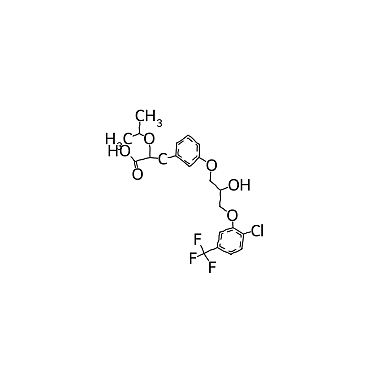 CC(C)OC(Cc1cccc(OCC(O)COc2cc(C(F)(F)F)ccc2Cl)c1)C(=O)O